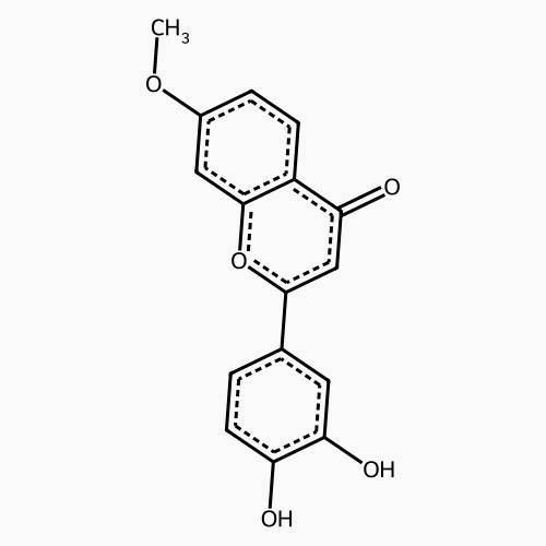 COc1ccc2c(=O)cc(-c3ccc(O)c(O)c3)oc2c1